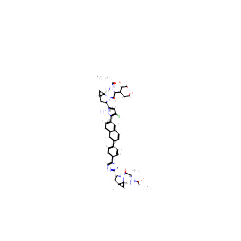 COC(=O)N[C@H](C(=O)N1[C@@H]2C[C@@H]2C[C@H]1c1ncc(-c2ccc(-c3ccc4cc(-c5[nH]c(C6C[C@H]7C[C@H]7N6C(=O)[C@@H](NC(=O)OC)C6CCOCC6)cc5Cl)ccc4c3)cc2)[nH]1)C(C)C